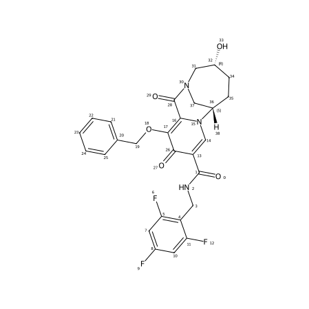 O=C(NCc1c(F)cc(F)cc1F)c1cn2c(c(OCc3ccccc3)c1=O)C(=O)N1C[C@H](O)CC[C@H]2C1